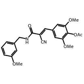 COc1cccc(CNC(=O)/C(C#N)=C/c2cc(OC)c(OC(C)=O)c(OC)c2)c1